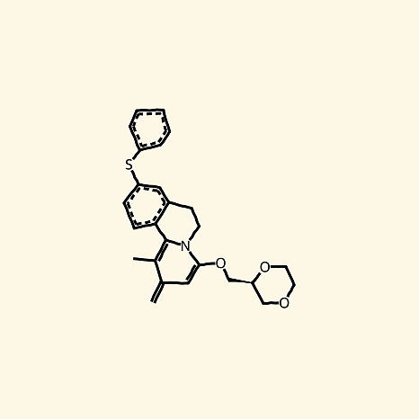 C=C1C=C(OC[C@@H]2COCCO2)N2CCc3cc(Sc4ccccc4)ccc3C2=C1C